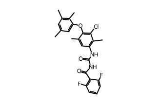 Cc1cc(C)c(C)c(Oc2c(C)cc(NC(=O)NC(=O)c3c(F)cccc3F)c(C)c2Cl)c1